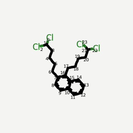 ClC(Cl)CCCCc1ccc2ccccc2c1CCCCC(Cl)Cl